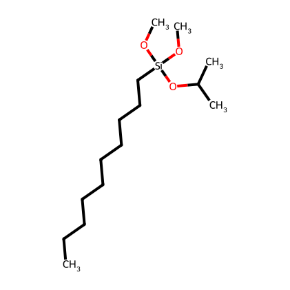 CCCCCCCCCC[Si](OC)(OC)OC(C)C